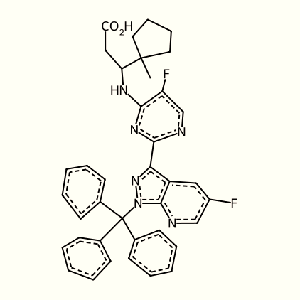 CC1(C(CC(=O)O)Nc2nc(-c3nn(C(c4ccccc4)(c4ccccc4)c4ccccc4)c4ncc(F)cc34)ncc2F)CCCC1